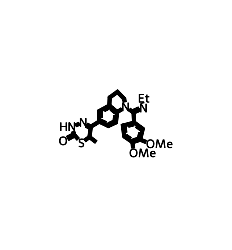 CC/N=C(/c1ccc(OC)c(OC)c1)N1CCCc2cc(C3=NNC(=O)SC3C)ccc21